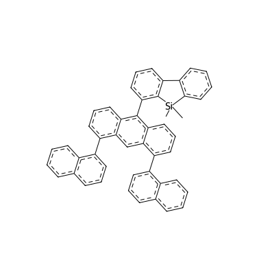 C[Si]1(C)c2ccccc2-c2cccc(-c3c4cccc(-c5cccc6ccccc56)c4cc4c(-c5cccc6ccccc56)cccc34)c21